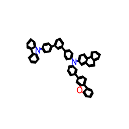 c1cc(-c2ccc(N(c3cccc(-c4ccc5c(c4)oc4ccccc45)c3)c3ccc4c(ccc5ccccc54)c3)cc2)cc(-c2ccc(-n3c4ccccc4c4ccccc43)cc2)c1